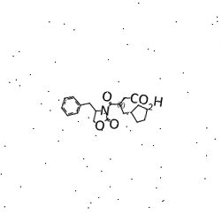 O=C(O)C[C@@H](CC1CCCC1)C(=O)N1C(=O)OCC1Cc1ccccc1